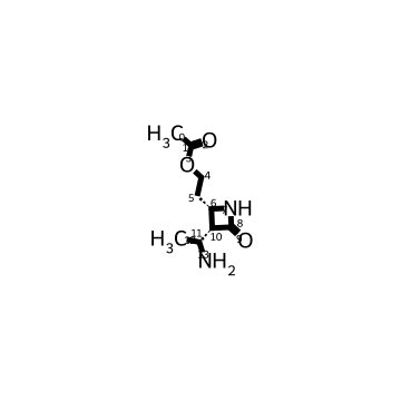 CC(=O)OCC[C@@H]1NC(=O)[C@@H]1C(C)N